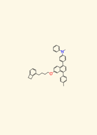 Cc1ccc(-c2ccc(-c3ccc(N(C)c4ccccc4)cc3)c3ccc(OCCCCc4cccc5c4CC5)cc23)cc1